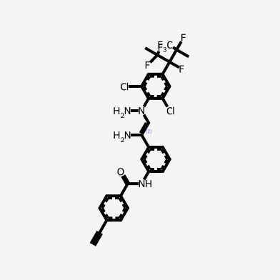 C#Cc1ccc(C(=O)Nc2cccc(/C(N)=C/N(N)c3c(Cl)cc(C(F)(C(C)(F)F)C(C)(F)C(F)(F)F)cc3Cl)c2)cc1